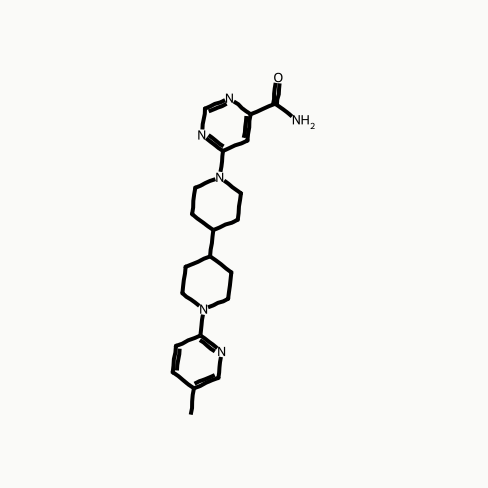 Cc1ccc(N2CCC(C3CCN(c4cc(C(N)=O)ncn4)CC3)CC2)nc1